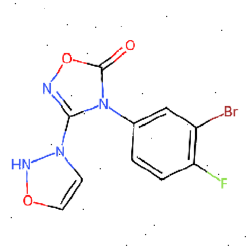 O=c1onc(N2C=CON2)n1-c1ccc(F)c(Br)c1